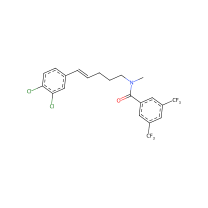 CN(CCCC=Cc1ccc(Cl)c(Cl)c1)C(=O)c1cc(C(F)(F)F)cc(C(F)(F)F)c1